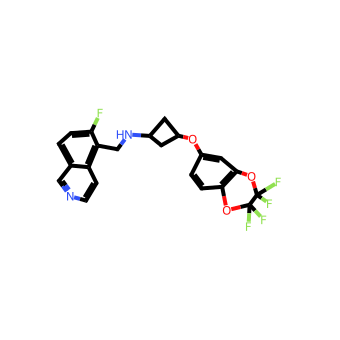 Fc1ccc2cnccc2c1CNC1CC(Oc2ccc3c(c2)OC(F)(F)C(F)(F)O3)C1